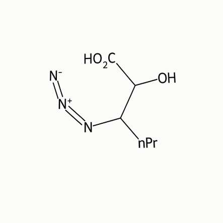 CCCC(N=[N+]=[N-])C(O)C(=O)O